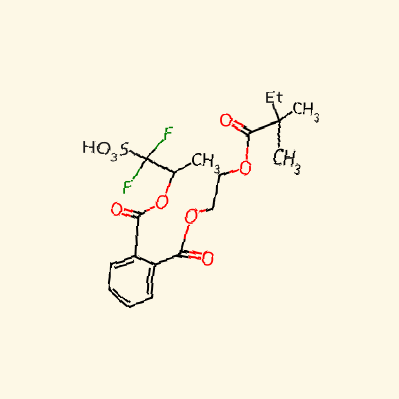 CCC(C)(C)C(=O)OCCOC(=O)c1ccccc1C(=O)OC(C)C(F)(F)S(=O)(=O)O